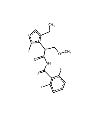 CCc1csc(F)c1N(COC)C(=O)NC(=O)c1c(F)cccc1F